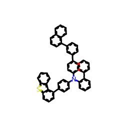 c1ccc(-c2ccccc2N(c2ccc(-c3cccc(-c4cccc5ccccc45)c3)cc2)c2ccc(-c3cccc4sc5ccccc5c34)cc2)cc1